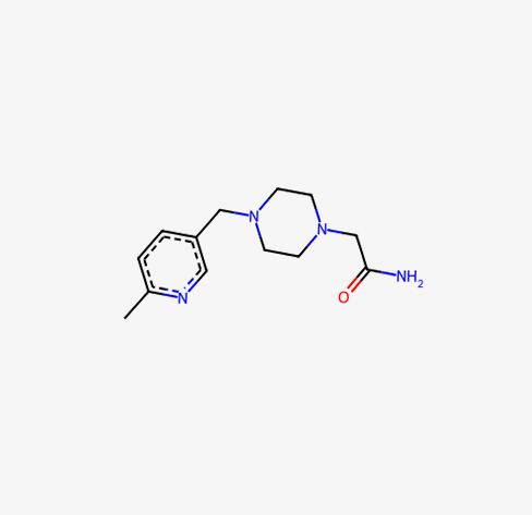 Cc1ccc(CN2CCN(CC(N)=O)CC2)cn1